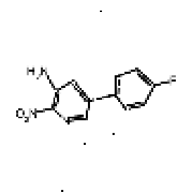 Nc1cc(-c2ccc(F)cc2)cnc1[N+](=O)[O-]